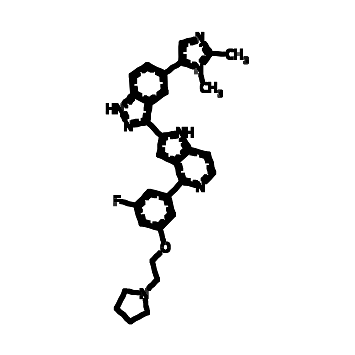 Cc1ncc(-c2ccc3[nH]nc(-c4cc5c(-c6cc(F)cc(OCCN7CCCC7)c6)nccc5[nH]4)c3c2)n1C